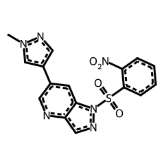 Cn1cc(-c2cnc3cnn(S(=O)(=O)c4ccccc4[N+](=O)[O-])c3c2)cn1